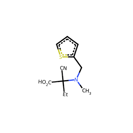 CCC(C#N)(C(=O)O)N(C)Cc1cccs1